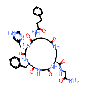 NC(=O)CNC(=O)[C@@H]1CCNC(=O)CC[C@H](NC(=O)CCc2ccccc2)C(=O)N[C@@H](Cc2c[nH]cn2)C(=O)N[C@H](Cc2ccccc2)C(=O)NCC(=O)N1